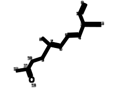 C=CC(=C)/C=C/C=C(\C)CCC(C)=O